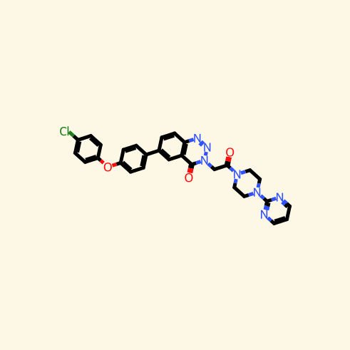 O=C(Cn1nnc2ccc(-c3ccc(Oc4ccc(Cl)cc4)cc3)cc2c1=O)N1CCN(c2ncccn2)CC1